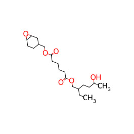 CCC(CCC(C)O)COC(=O)CCCCC(=O)OCC1CCC2OC2C1